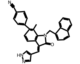 Cc1c(-c2ccc(C#N)cc2)ccc2c1N(Cc1cccc3ccccc13)C(=O)C2=Cc1cn[nH]c1